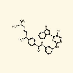 CN(C)C/C=C/C(N)c1ccc(C(=O)Nc2cccc(Nc3ncc(C#N)c(-c4c[nH]c5ccccc45)n3)c2)cc1